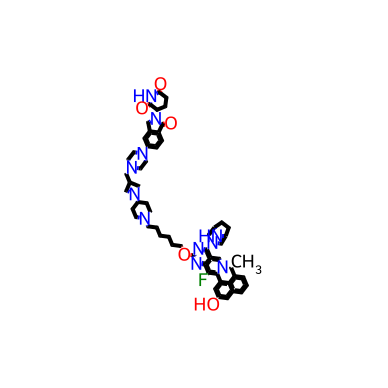 CCc1cccc2cc(O)cc(-c3ncc4c(N5CC6CCC(C5)N6)nc(OCCCCCCN5CCC(N6CC(CN7CCN(c8ccc9c(c8)CN([C@H]8CCC(=O)NC8=O)C9=O)CC7)C6)CC5)nc4c3F)c12